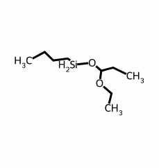 CCCC[SiH2]OC(CC)OCC